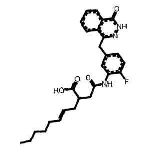 CCCCCC=CCC(CC(=O)Nc1cc(Cc2n[nH]c(=O)c3ccccc23)ccc1F)C(=O)O